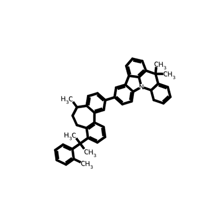 Cc1ccccc1C(C)(C)c1cccc2c1CCC(C)c1ccc(-c3ccc4c(c3)c3cccc5c3n4C3CC=CC=C3C5(C)C)cc1-2